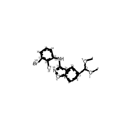 COC(OC)c1ccc2onc(Nc3cccc(Br)c3Cl)c2c1